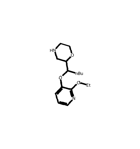 CCCCC(Oc1cccnc1OCC)C1CNCCO1